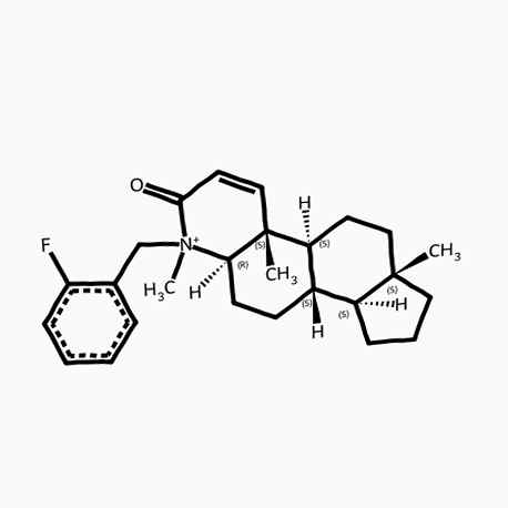 C[C@@]12CCC[C@H]1[C@@H]1CC[C@@H]3[C@](C)(C=CC(=O)[N+]3(C)Cc3ccccc3F)[C@H]1CC2